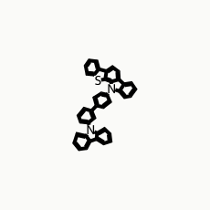 c1cc(-c2ccc(-n3c4ccccc4c4ccc5c6ccccc6sc5c43)cc2)cc(-n2c3ccccc3c3ccccc32)c1